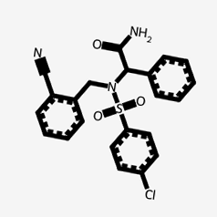 N#Cc1ccccc1CN(C(C(N)=O)c1ccccc1)S(=O)(=O)c1ccc(Cl)cc1